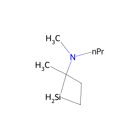 CCCN(C)C1(C)CC[SiH2]1